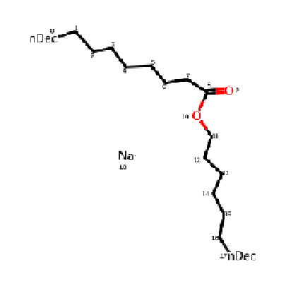 CCCCCCCCCCCCCCCCCC(=O)OCCCCCCCCCCCCCCCC.[Na]